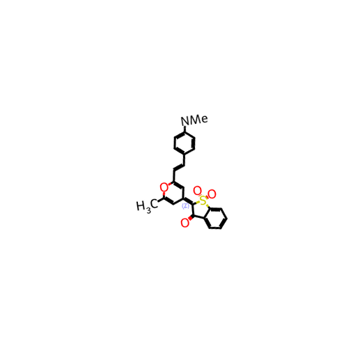 CNc1ccc(C=CC2=C/C(=C3/C(=O)c4ccccc4S3(=O)=O)C=C(C)O2)cc1